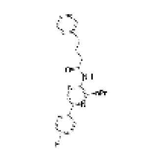 CCCc1nc(-c2ccc(F)cc2)cnc1NC(=O)CCCc1ccccc1